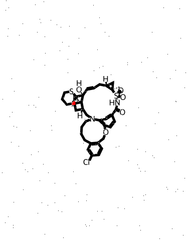 C[C@@]12C[C@H]1C/C=C/[C@](O)(C1SCCCS1)[C@@H]1CC[C@H]1CN1CCCCc3cc(Cl)ccc3COc3ccc(cc31)C(=O)NS2(=O)=O